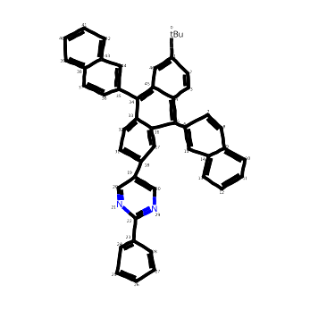 CC(C)(C)c1ccc2c(-c3ccc4ccccc4c3)c3cc(-c4cnc(-c5ccccc5)nc4)ccc3c(-c3ccc4ccccc4c3)c2c1